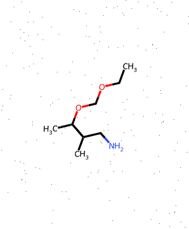 CCOCOC(C)C(C)CN